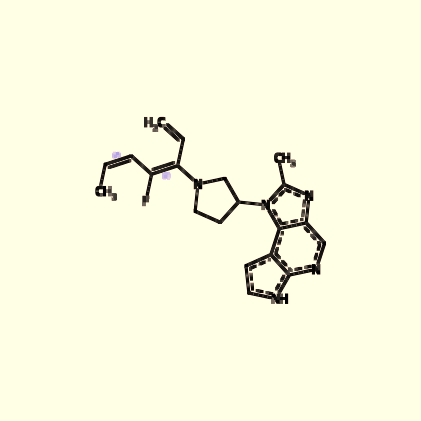 C=C/C(=C(F)\C=C/C)N1CCC(n2c(C)nc3cnc4[nH]ccc4c32)C1